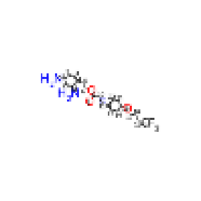 Nc1ccc(CCOC(=O)/C=C/c2ccc(OCCCC(F)(F)F)cc2)c(N)c1